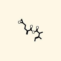 C=C(CCC1CO1)C(=O)OC(=O)C(C)C(C)=CC